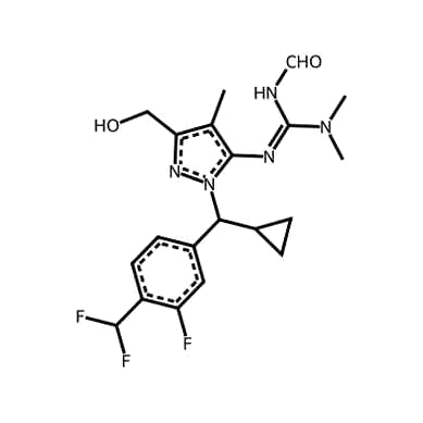 Cc1c(CO)nn(C(c2ccc(C(F)F)c(F)c2)C2CC2)c1/N=C(\NC=O)N(C)C